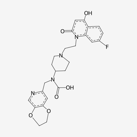 O=C(O)N(Cc1cc2c(cn1)OCCO2)C1CCN(CCn2c(=O)cc(O)c3ccc(F)cc32)CC1